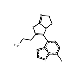 CCCC1=C(c2ccc(F)c3sccc23)N2CCN=C2S1